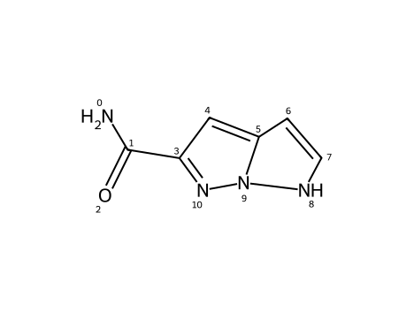 NC(=O)c1cc2cc[nH]n2n1